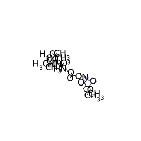 CC(C)(C)NC(CCC(=O)NCCOC(=O)c1ccc(/N=C2\C(=O)C3=C(OC(C)(C)CC3)c3ccccc32)cc1)C(=O)C(C)(C)C